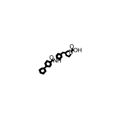 O=C(Nc1ccc(CC2CCCN(C(=O)O)C2)cc1)c1ccc(-c2ccccc2)cc1